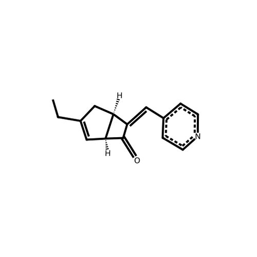 CCC1=C[C@@H]2C(=O)C(=Cc3ccncc3)[C@@H]2C1